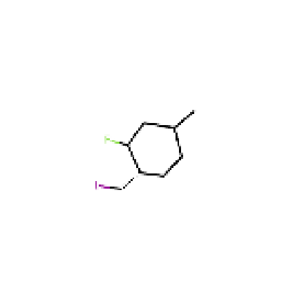 CC1CC[C@H](CI)C(F)C1